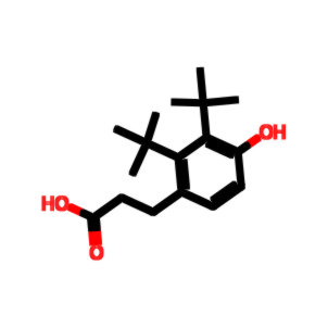 CC(C)(C)c1c(O)ccc(CCC(=O)O)c1C(C)(C)C